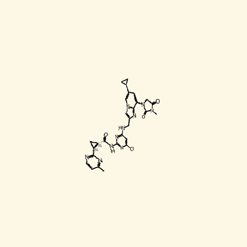 Cc1ccnc([C@H]2C[C@@H]2C(=O)Nc2nc(Cl)cc(NCc3cn4cc(C5CC5)cc(N5CC(=O)N(C)C5=O)c4n3)n2)n1